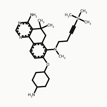 CN(CCC#C[Si](C)(C)C)c1c(OC2CCC(N)CC2)ccc2c1CC(C)(C)c1c(N)ncnc1-2